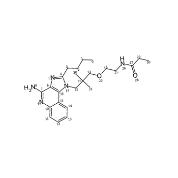 CCCCc1nc2c(N)nc3ccccc3c2n1CC(C)(C)COCCNC(=O)CC